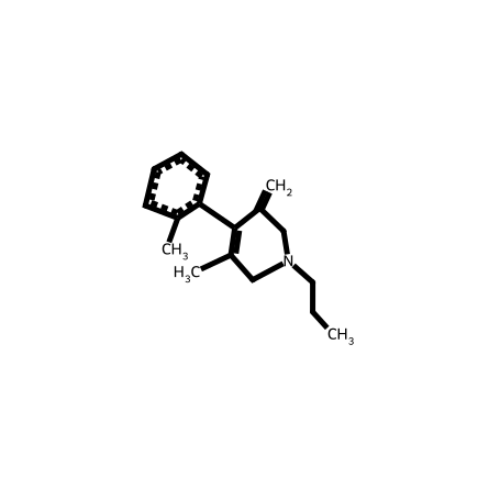 C=C1CN(CCC)CC(C)=C1c1ccccc1C